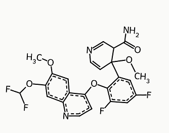 COc1cc2c(Oc3c(F)cc(F)cc3C3(OC)C=CN=CC3C(N)=O)ccnc2cc1OC(F)F